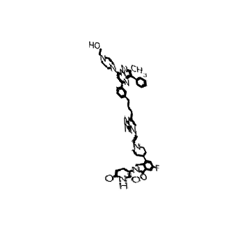 Cc1nn2c(N3CCN(CCO)CC3)cc(-c3cccc(CCCc4cn(CCN5CCC(c6cc(F)cc7c6CN(C6CCC(=O)NC6=O)C7=O)CC5)nn4)c3)nc2c1-c1ccccc1